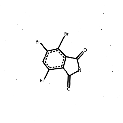 O=C1[N]C(=O)c2c(Br)c(Br)cc(Br)c21